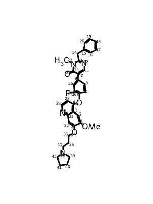 COc1cc2c(Oc3ccc(-c4cnc(Cc5ccccc5)n(C)c4=O)cc3F)ccnc2cc1OCCCN1CCCC1